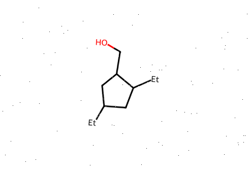 CCC1CC(CC)C(CO)C1